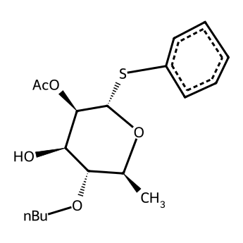 CCCCO[C@@H]1[C@@H](O)[C@@H](OC(C)=O)[C@H](Sc2ccccc2)O[C@H]1C